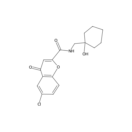 O=C(NCC1(O)CCCCC1)c1cc(=O)c2cc(Cl)ccc2o1